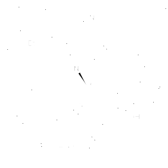 CCc1cn([C@H]2C[C@H](O)[C@H](N(C)S(=O)(=O)O)O2)c2ncncc12